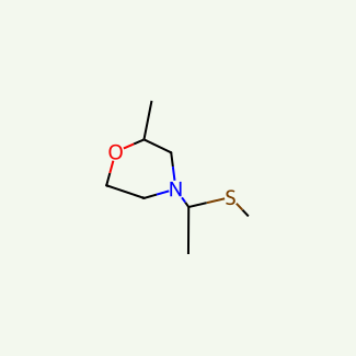 CSC(C)N1CCOC(C)C1